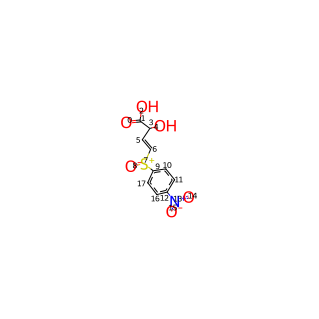 O=C(O)C(O)/C=C/[S+]([O-])c1ccc([N+](=O)[O-])cc1